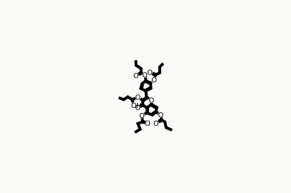 CCCC(=O)Oc1cc(OC(=O)CCC)c2c(=O)c(OC(O)CCC)c(-c3ccc(OC(=O)CCC)c(OC(=O)CCC)c3)oc2c1